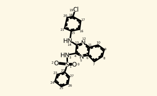 O=S(=O)(Nc1nc2ccccc2nc1Nc1ccc(Cl)cc1)c1ccccc1